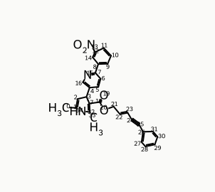 CC1=CC(c2ccc(-c3cccc([N+](=O)[O-])c3)nc2)C(C(=O)OC/C=C/C#Cc2ccccc2)=C(C)N1